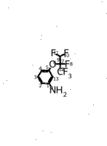 Nc1cccc(OC(F)(C(F)F)C(F)(F)F)c1